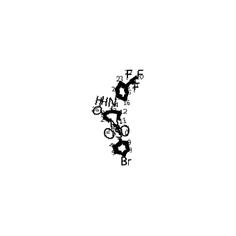 O=S(=O)(c1ccc(Br)cc1)N1CC[C@@H](Nc2ccc(C(F)(F)F)cc2)[C@@H](O)C1